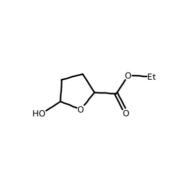 CCOC(=O)C1CCC(O)O1